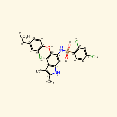 CCc1c(C)[nH]c2cc(NS(=O)(=O)c3ccc(Cl)cc3Cl)c(Oc3ccc(CC(=O)O)cc3Cl)cc12